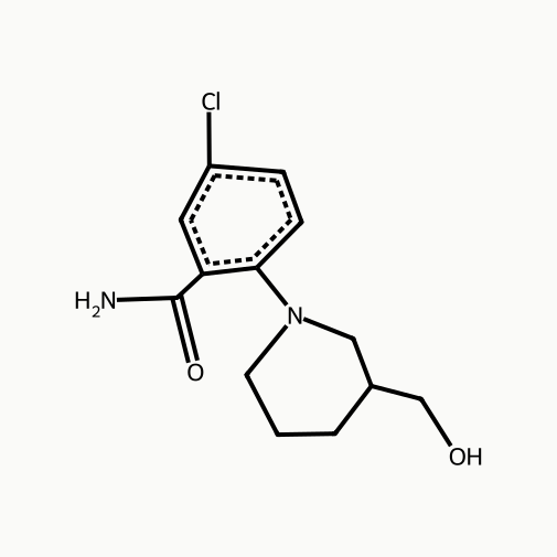 NC(=O)c1cc(Cl)ccc1N1CCCC(CO)C1